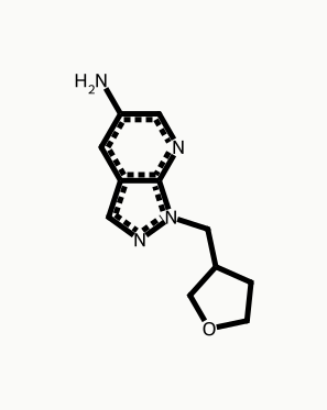 Nc1cnc2c(cnn2CC2CCOC2)c1